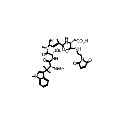 CN[C@H](C(=O)N[C@H](C(=O)N(C)[C@H](/C=C(\C)C(=O)N[C@H](CC(=O)O)C(=O)NCCN1C(=O)C=CC1=O)C(C)C)C(C)(C)C)C(C)(C)c1cn(C)c2ccccc12